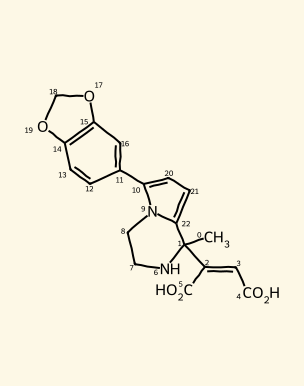 CC1(C(=CC(=O)O)C(=O)O)NCCn2c(-c3ccc4c(c3)OCO4)ccc21